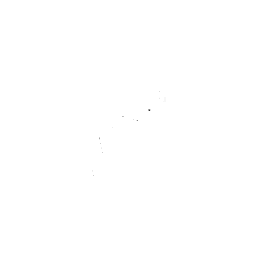 COCC[N+](C)(C)CCC(C)(C)NCl.[Cl-]